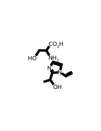 C=Cn1ccnc1C(C)O.NC(CO)C(=O)O